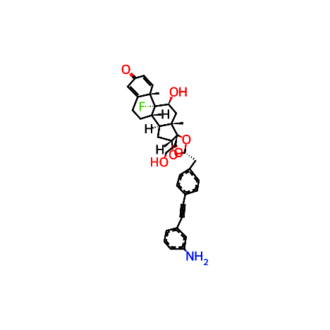 C[C@]12C=CC(=O)C=C1CC[C@H]1[C@@H]3C[C@H]4O[C@@H](Cc5ccc(C#Cc6cccc(N)c6)cc5)O[C@@]4(C(=O)CO)[C@@]3(C)C[C@H](O)[C@@]12F